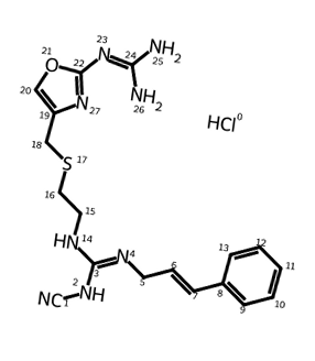 Cl.N#CN/C(=N\C/C=C/c1ccccc1)NCCSCc1coc(N=C(N)N)n1